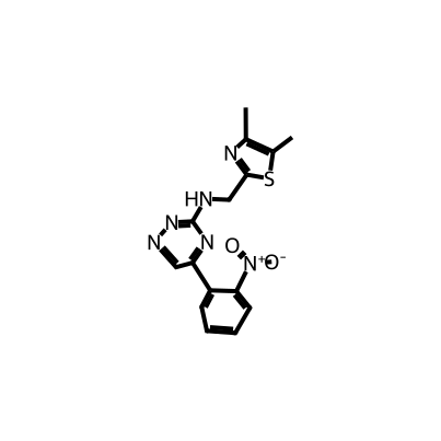 Cc1nc(CNc2nncc(-c3ccccc3[N+](=O)[O-])n2)sc1C